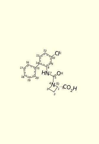 O=C(O)[C@@H]1CCN1C(=O)Nc1cc(Cl)ccc1-c1ccccc1